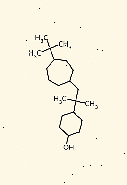 CC(C)(C)C1CCCC(CC(C)(C)C2CCC(O)CC2)CC1